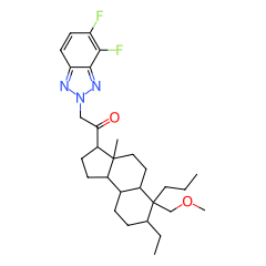 CCCC1(COC)C(CC)CCC2C3CCC(C(=O)Cn4nc5ccc(F)c(F)c5n4)C3(C)CCC21